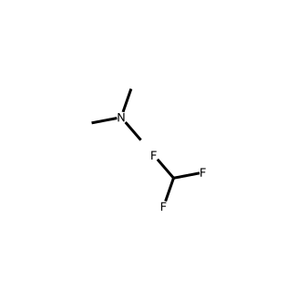 CN(C)C.FC(F)F